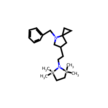 C[Si]1(C)CC[Si](C)(C)N1CCC1CN(Cc2ccccc2)C2(CC2)C1